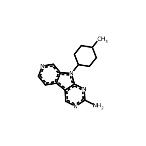 CC1CCC(n2c3cnccc3c3cnc(N)nc32)CC1